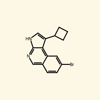 Brc1ccc2cnc3[nH]cc(C4CCC4)c3c2c1